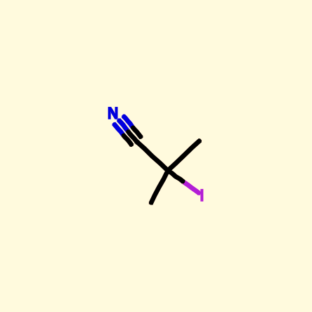 CC(C)(I)C#N